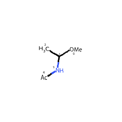 COC(C)NC(C)=O